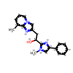 Cc1cccn2cc(CC(O)c3nc(-c4ccccc4)cn3C)nc12